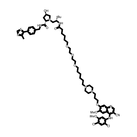 COc1cc(Nc2c(C#N)cnc3cc(OCCCN4CCN(CCCCCCOCCOCCOCCCCCC(=O)N[C@H](CN5C[C@H](O)C[C@H]5C(=O)NCc5ccc(-c6scnc6C)cc5)C(C)(C)C)CC4)c(OC)cc23)c(Cl)cc1Cl